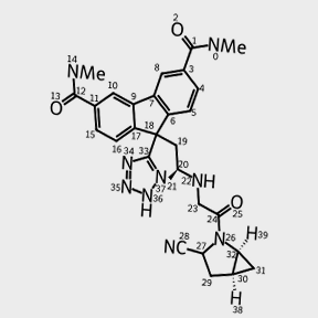 CNC(=O)c1ccc2c(c1)-c1cc(C(=O)NC)ccc1C2(C[C@H](C)NCC(=O)N1C(C#N)C[C@@H]2C[C@@H]21)c1nn[nH]n1